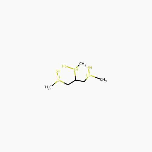 C[SH](S)CC(C[SH](C)S)[SH](C)S